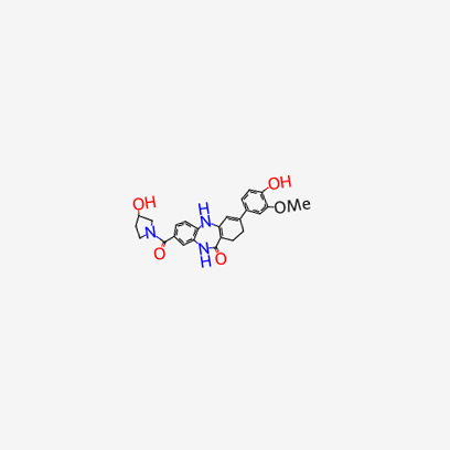 COc1cc(C2=CC3=C(CC2)C(=O)Nc2cc(C(=O)N4CCC(O)C4)ccc2N3)ccc1O